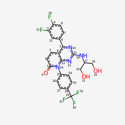 O=c1ccc2c(-c3ccc(F)c(F)c3)nc(NC(CO)CO)nc2n1-c1ccc(C(F)(F)F)cc1